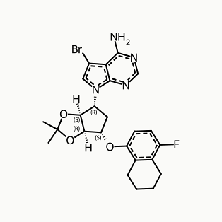 CC1(C)O[C@@H]2[C@H](O1)[C@@H](Oc1ccc(F)c3c1CCCC3)C[C@H]2n1cc(Br)c2c(N)ncnc21